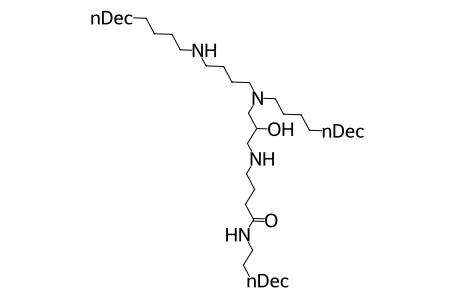 CCCCCCCCCCCCCCNCCCCN(CCCCCCCCCCCCCC)CC(O)CNCCCC(=O)NCCCCCCCCCCCC